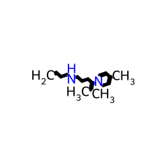 C=CCCNCCCC(=C(C)C)N1C=CC(C)=CC1